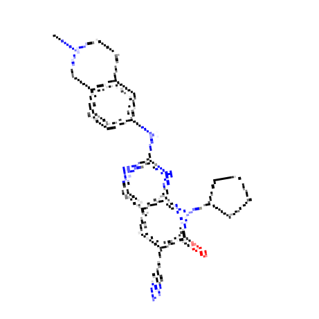 CN1CCc2cc(Nc3ncc4cc(C#N)c(=O)n(C5CCCC5)c4n3)ccc2C1